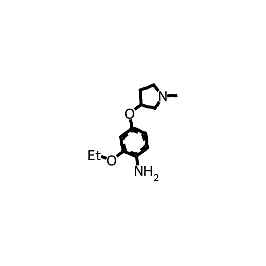 CCOc1cc(OC2CCN(C)C2)ccc1N